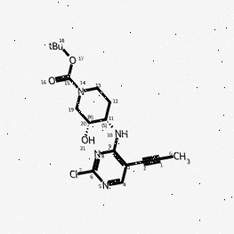 CC#Cc1cnc(Cl)nc1N[C@H]1CCN(C(=O)OC(C)(C)C)C[C@H]1O